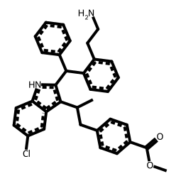 COC(=O)c1ccc(CC(C)c2c(C(c3ccccc3)c3ccccc3CCN)[nH]c3ccc(Cl)cc23)cc1